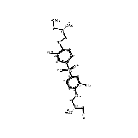 COC[C@@H](COc1ccc(S(=O)(=O)c2ccc(OC[C@H](CCl)OC(C)=O)c(Cl)c2)cc1Cl)OC(C)=O